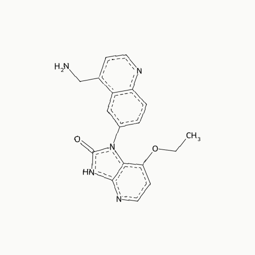 CCOc1ccnc2[nH]c(=O)n(-c3ccc4nccc(CN)c4c3)c12